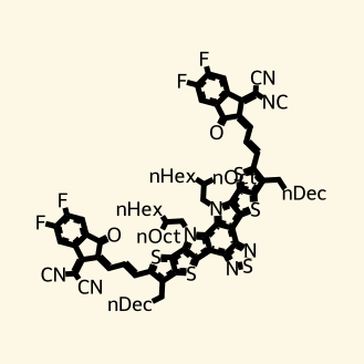 [C-]#[N+]\C(C#N)=C1/C(=C/C=C/c2sc3c(sc4c5c6nsnc6c6c7sc8c(CCCCCCCCCCC)c(/C=C/C=C9\C(=O)c%10cc(F)c(F)cc%10\C9=C(\C#N)[N+]#[C-])sc8c7n(CC(CCCCCC)CCCCCCCC)c6c5n(CC(CCCCCC)CCCCCCCC)c34)c2CCCCCCCCCCC)C(=O)c2cc(F)c(F)cc21